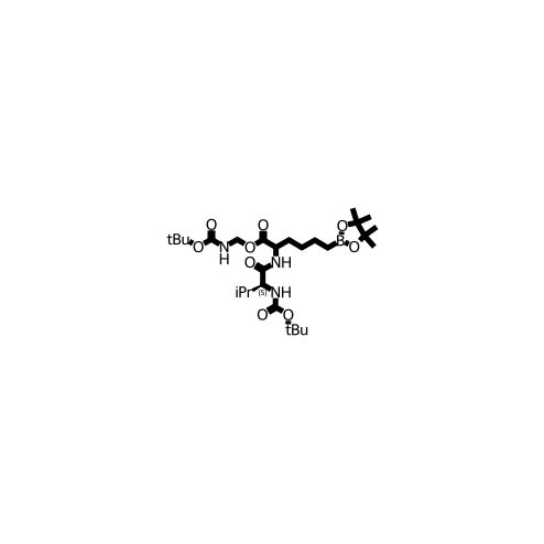 CC(C)[C@H](NC(=O)OC(C)(C)C)C(=O)NC(CCCCB1OC(C)(C)C(C)(C)O1)C(=O)OCNC(=O)OC(C)(C)C